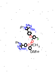 COc1ccc(Oc2ccc(-c3cn(C(C)C)c4ncnc(N)c34)cc2)c(C(C)OOCc2cc(CF)ccc2Oc2ccc(-c3cn(C(C)C)c4ncnc(N)c34)cc2)c1